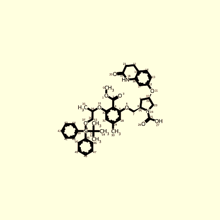 COC(=O)c1c(OC[C@H]2C[C@H](Oc3ccc4c(c3)NC(=O)CC4)CN2C(=O)O)cc(C)cc1OC(C)CO[Si](c1ccccc1)(c1ccccc1)C(C)(C)C